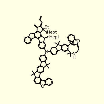 C=C/C=C1\C(=C)c2c3c(c4c(c2C1(CC)CCCCCCC)C(CCCCCCC)c1cc(N(C2=CC=C5c6cc7c(cc6C(C)(C)C5C2)/C(C)=c2/c(oc5ccccc25)=C\CNC7(C)C)c2ccc5c(c2)C(C)(C)c2cc6c(cc2-5)C(C)(C)c2ccc5oc7ccccc7c5c2-6)ccc1-4)-c1ccccc1C3